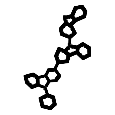 C1=CC2C(C=C1c1ccc3c(c1)c1ccccc1n3-c1ccc3sc4ccccc4c3c1)c1ccccc1N2c1ccccc1